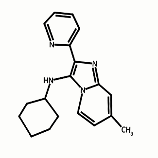 Cc1ccn2c(NC3CCCCC3)c(-c3ccccn3)nc2c1